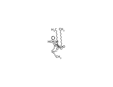 CCC(O)(O)c1ccccc1.CCCCCCCCCCCC(=O)[O-].CCCCCCCCCCCC(=O)[O-].CCC[CH2][Sn+2][CH2]CCC